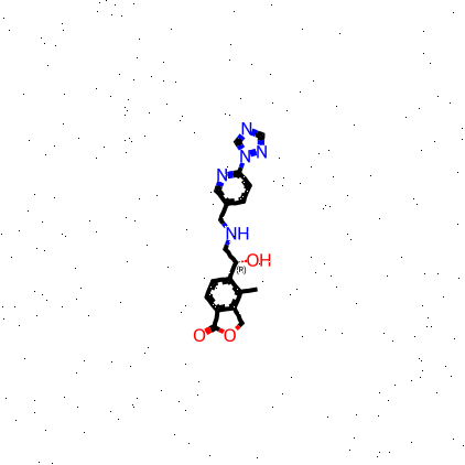 Cc1c([C@@H](O)CNCc2ccc(-n3cncn3)nc2)ccc2c1COC2=O